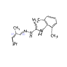 CC(=C/C(C)C)/C=N/NC(=S)Nc1c(C)cccc1C